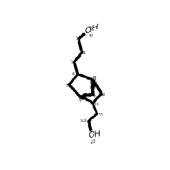 OCCCC1CC2CC1CC2CCO